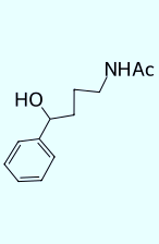 CC(=O)NCCCC(O)c1ccccc1